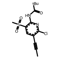 CC#Cc1cc(S(C)(=O)=O)c(NC(=O)C(C)(C)C)nc1Cl